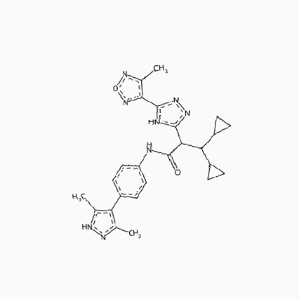 Cc1nonc1-c1nnc(C(C(=O)Nc2ccc(-c3c(C)n[nH]c3C)cc2)C(C2CC2)C2CC2)[nH]1